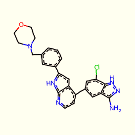 Nc1n[nH]c2c(Cl)cc(-c3ccnc4[nH]c(-c5cccc(CN6CCOCC6)c5)cc34)cc12